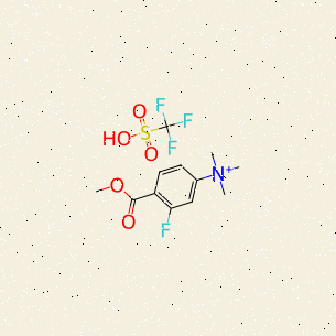 COC(=O)c1ccc([N+](C)(C)C)cc1F.O=S(=O)(O)C(F)(F)F